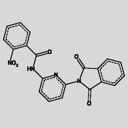 O=C(Nc1cccc(N2C(=O)c3ccccc3C2=O)n1)c1ccccc1[N+](=O)[O-]